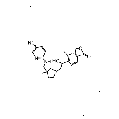 Cc1c([C@H](O)CN2CCC(C)(CNc3ccc(C#N)cn3)C2)ccc2c1COC2=O